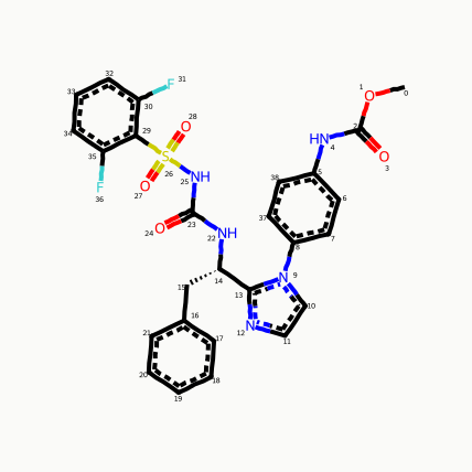 COC(=O)Nc1ccc(-n2ccnc2[C@H](Cc2ccccc2)NC(=O)NS(=O)(=O)c2c(F)cccc2F)cc1